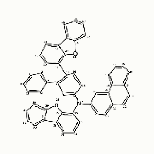 c1ccc(-c2cc(N(c3ccc4ccc5ccccc5c4c3)c3cccc4c3oc3ccccc34)ccc2-c2cccc3c2oc2ccccc23)cc1